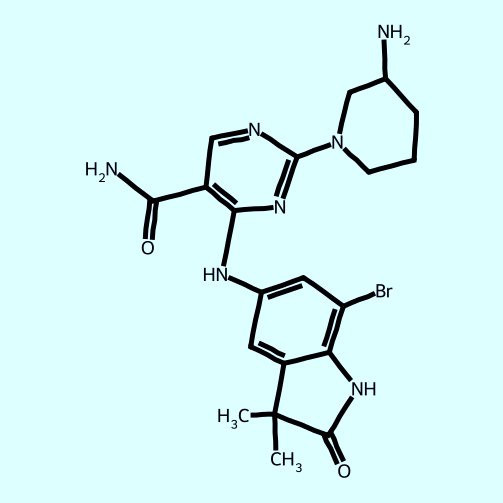 CC1(C)C(=O)Nc2c(Br)cc(Nc3nc(N4CCCC(N)C4)ncc3C(N)=O)cc21